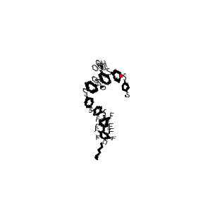 C#CCCCCOc1c(F)c(F)c(-c2c(F)c(F)c(Sc3ccc(Sc4ccc(Sc5ccc(S(=O)(=O)c6ccc(Sc7ccc(Sc8ccc(SC)cc8)cc7)c(S(=O)(=O)O)c6)cc5)cc4)cc3)c(F)c2F)c(F)c1F